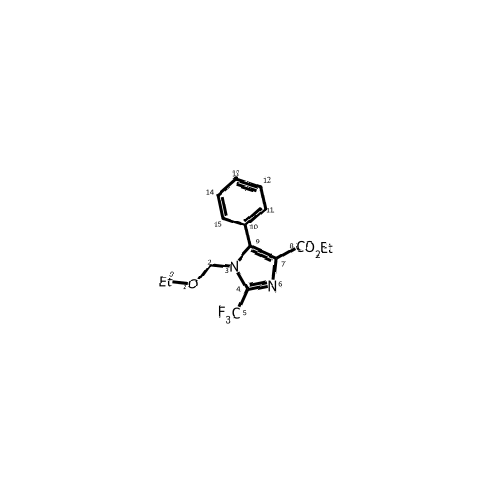 CCOCn1c(C(F)(F)F)nc(C(=O)OCC)c1-c1ccccc1